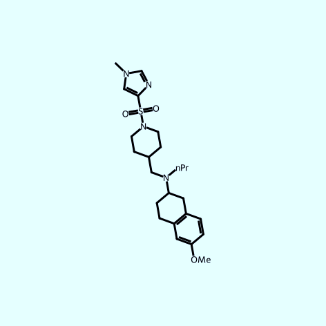 CCCN(CC1CCN(S(=O)(=O)c2cn(C)cn2)CC1)C1CCc2cc(OC)ccc2C1